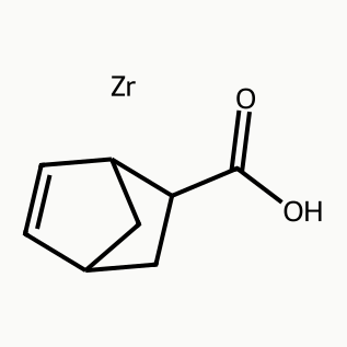 O=C(O)C1CC2C=CC1C2.[Zr]